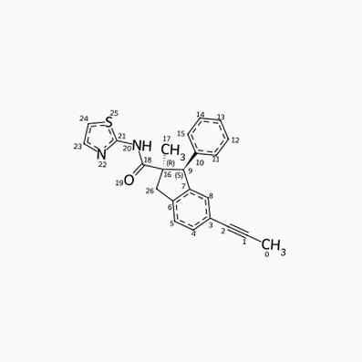 CC#Cc1ccc2c(c1)[C@H](c1ccccc1)[C@](C)(C(=O)Nc1nccs1)C2